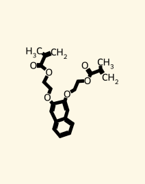 C=C(C)C(=O)OCCOc1cc2ccccc2cc1OCCOC(=O)C(=C)C